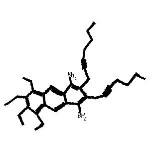 Bc1c(CC#CCCCC)c(CC#CCCCC)c(B)c2cc3c(CC)c(CC)c(CC)c(CC)c3cc12